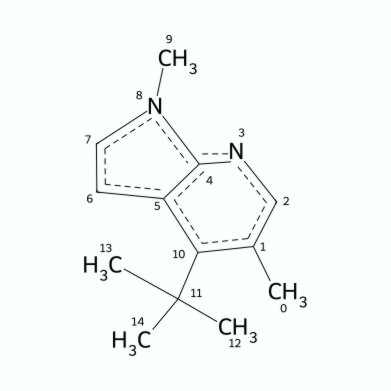 Cc1cnc2c(ccn2C)c1C(C)(C)C